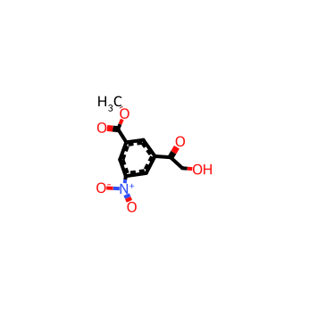 COC(=O)c1cc(C(=O)CO)cc([N+](=O)[O-])c1